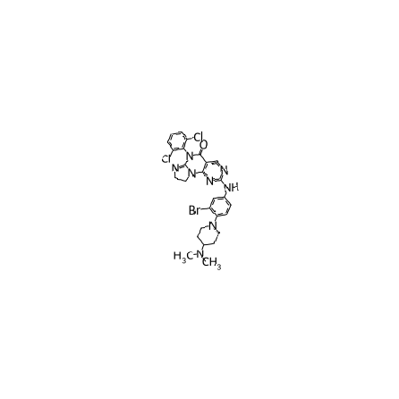 CN(C)C1CCN(c2ccc(Nc3ncc4c(n3)N3CCN=C3N(c3c(Cl)cccc3Cl)C4=O)cc2Br)CC1